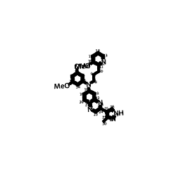 COc1cc(OC)cc(N(CCCc2ncccc2OC)c2ccc3ncc(-c4c[nH]nc4C)nc3c2)c1